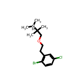 C[SiH](C)C(C)(C)COCCc1cc(Cl)ccc1Br